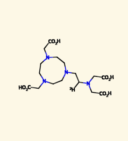 [2H]C(CN1CCN(CC(=O)O)CCN(CC(=O)O)CC1)N(CC(=O)O)CC(=O)O